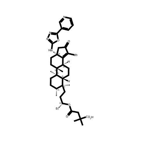 CC[C@H](CC[C@@]1(C)[C@H](C)CC[C@]2(C)[C@@H]1CC[C@@H]1C3=C(C(C)C)C(=O)C[C@]3(Nc3nnc(-c4cccnc4)o3)CC[C@]12C)OC(=O)CC(C)(C)C(=O)O